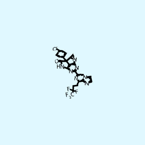 O=C1Nc2nc(-c3cn4ccnc4c(CCC(F)(F)C(F)(F)F)n3)nc3c2C1(c1ccc(Cl)cc1)C1CN31